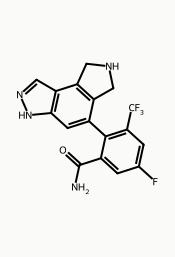 NC(=O)c1cc(F)cc(C(F)(F)F)c1-c1cc2[nH]ncc2c2c1CNC2